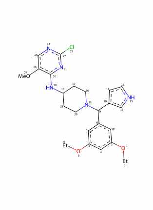 CCOc1cc(OCC)cc(C(c2cc[nH]c2)N2CCC(Nc3nc(Cl)ncc3OC)CC2)c1